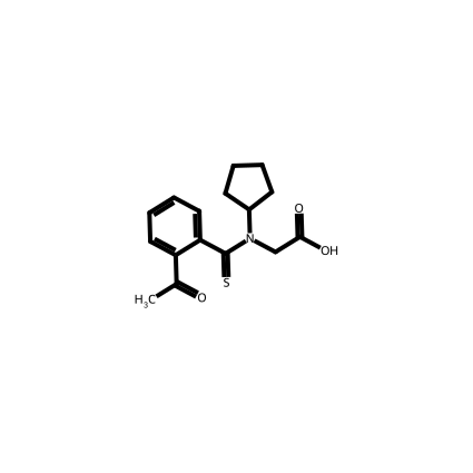 CC(=O)c1ccccc1C(=S)N(CC(=O)O)C1CCCC1